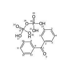 O=C(c1ccccc1)c1ccccc1.O=P(O)(O)OP(=O)(O)O